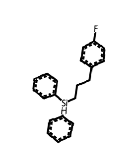 Fc1ccc(CCC[SiH](c2ccccc2)c2ccccc2)cc1